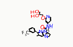 Cc1cc2c(nc1-c1cccc(C(F)(F)F)c1)N(C(=O)Nc1ccnc(OCC(O)CO)c1)[C@H]1CCN2C1